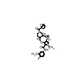 Cc1cc(NC(=O)c2c3c(cn2C)S(=O)(=O)N[C@@H]2CN(C(=O)C45CC(CO4)C5)CC[C@@H]2CO3)ccc1F